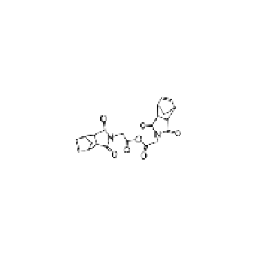 O=C(CN1C(=O)C2C3C=CC(C3)C2C1=O)OC(=O)CN1C(=O)C2C3C=CC(C3)C2C1=O